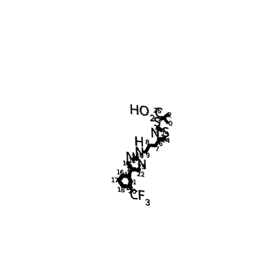 CC(C)(Sc1nc(CCCNc2ncc(-c3cccc(C(F)(F)F)c3)cn2)cs1)C(=O)O